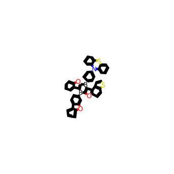 c1ccc2c(c1)Sc1ccccc1N2c1ccc(B2c3oc4ccccc4c3B(c3ccc4c(c3)oc3ccccc34)c3oc4ccc5sccc5c4c32)cc1